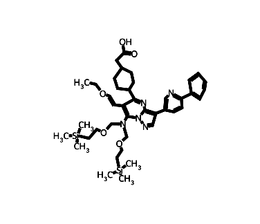 CCO/C=C/c1c(C2CCC(CC(=O)O)CC2)nc2c(-c3ccc(-c4ccccc4)nc3)cnn2c1N(COCC[Si](C)(C)C)COCC[Si](C)(C)C